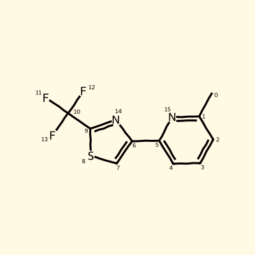 Cc1cccc(-c2csc(C(F)(F)F)n2)n1